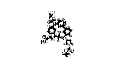 CC(C)(C)OC(=O)N1CCC(Oc2cccc(-c3nccc(N(C(=O)OC(C)(C)C)c4ccc5c(c4)c(C(C)(C)C)nn5C(=O)O)n3)c2)C1